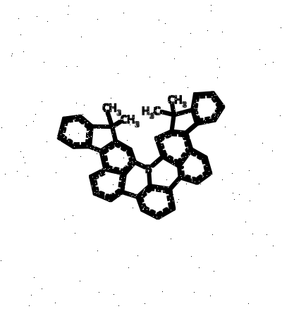 CC1(C)c2ccccc2-c2c1cc1c3c(cccc23)-c2cccc3c2B1c1cc2c(c4cccc-3c14)-c1ccccc1C2(C)C